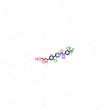 O=C(Nc1ccc(C(F)(F)F)c(Cl)c1)N1CC=C(c2ncc(CCC(O)CO)cc2Cl)CC1